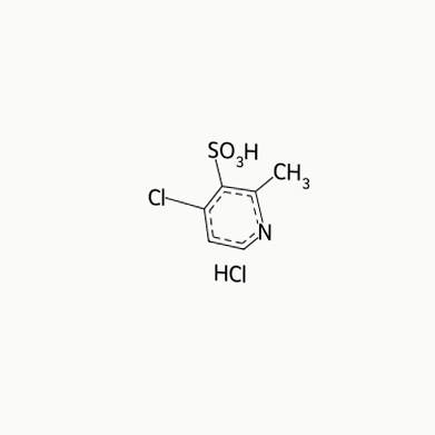 Cc1nccc(Cl)c1S(=O)(=O)O.Cl